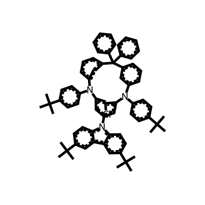 CC(C)(C)c1ccc(N2c3cccc(c3)C(c3ccccc3)(c3ccccc3)c3cccc(c3)N(c3ccc(C(C)(C)C)cc3)c3cc(-n4c5ccc(C(C)(C)C)cc5c5cc(C(C)(C)C)ccc54)cc2c3Cl)cc1